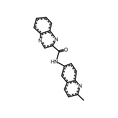 Cc1ccc2cc(NC(=O)c3cnc4ccccc4n3)ccc2n1